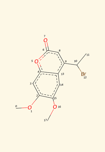 COc1cc2oc(=O)cc(C(C)Br)c2cc1OC